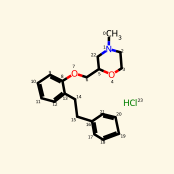 CN1CCOC(COc2ccccc2CCc2ccccc2)C1.Cl